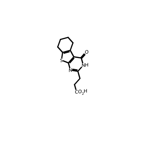 O=C(O)CCc1nc2sc3c(c2c(=O)[nH]1)CCCC3